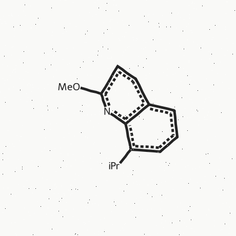 COc1ccc2cccc(C(C)C)c2n1